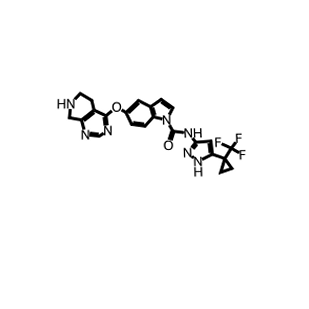 O=C(Nc1cc(C2(C(F)(F)F)CC2)[nH]n1)n1ccc2cc(Oc3ncnc4c3CCNC4)ccc21